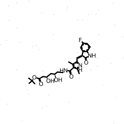 Cc1[nH]c(C=C2C(=O)Nc3ccc(F)cc32)c(C)c1C(=O)NCC[C@@H](O)C[C@@H](O)CC(=O)OC(C)(C)C